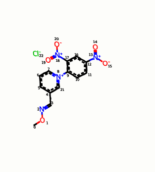 CO/N=C/c1ccc[n+](-c2ccc([N+](=O)[O-])cc2[N+](=O)[O-])c1.[Cl-]